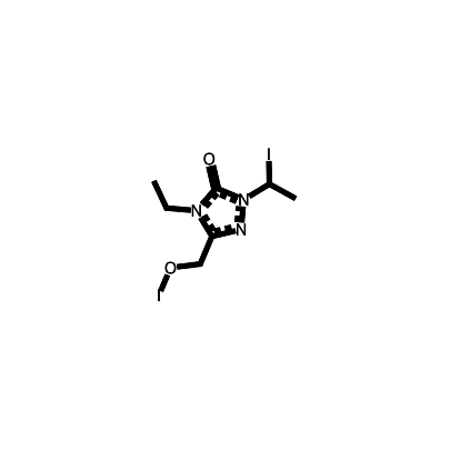 CCn1c(COI)nn(C(C)I)c1=O